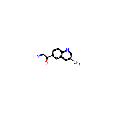 N=CC(=O)c1ccc2ncc(C(F)(F)F)cc2c1